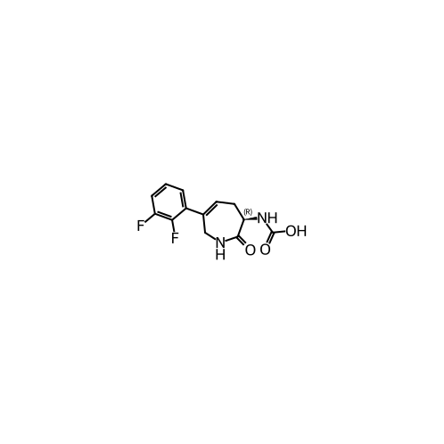 O=C(O)N[C@@H]1CC=C(c2cccc(F)c2F)CNC1=O